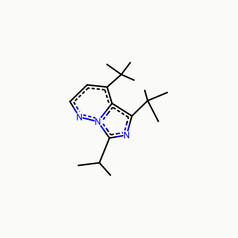 CC(C)c1nc(C(C)(C)C)c2c(C(C)(C)C)ccnn12